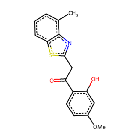 COc1ccc(C(=O)Cc2nc3c(C)cccc3s2)c(O)c1